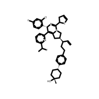 C=CC(CCc1ccc([C@H]2CC[C@@](C)(O)CC2)cc1)[C@H]1CC2=C(c3cccc(C(C)F)n3)[C@H](c3ccc(F)cc3Cl)N=C(C3CC=CS3)N2C1